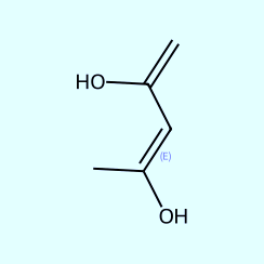 C=C(O)/C=C(\C)O